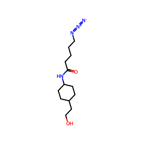 [N-]=[N+]=NCCCCC(=O)NC1CCC(CCO)CC1